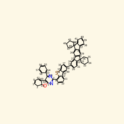 C1=CCC2Oc3nc(-c4cccc5c4sc4ccc(-c6ccc7c(c6)-c6cc8c(cc6C76CCCCC6)-c6ccccc6C86CCCCC6)cc45)nc(-c4ccccc4)c3C2=C1